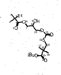 CCC(C)(C)C(=O)OCC(O)COC(=O)SCC(C)(C)C(=O)OCC(C)C